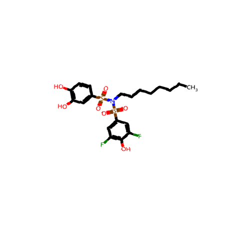 CCCCCCCCN(S(=O)(=O)c1ccc(O)c(O)c1)S(=O)(=O)c1cc(F)c(O)c(F)c1